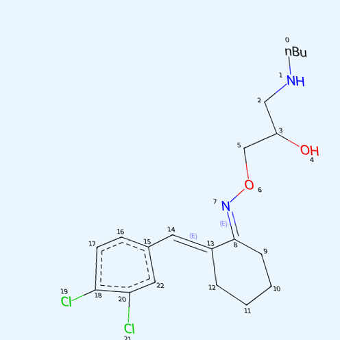 CCCCNCC(O)CO/N=C1\CCCC\C1=C/c1ccc(Cl)c(Cl)c1